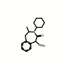 CNC1C(=O)N(C2CCCCC2)C(C)Cc2ccccc21